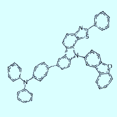 c1ccc(-c2nc3ccc4c5cc(-c6ccc(N(c7ccccc7)c7ccccc7)cc6)ccc5n(-c5ccc6oc7ccccc7c6c5)c4c3s2)cc1